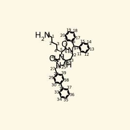 NCCCC[C@H]1C(=O)N(C(c2ccccc2)c2ccccc2)CC[C@H]2CN(Cc3ccc(-c4ccccc4)cc3)C(=O)N21